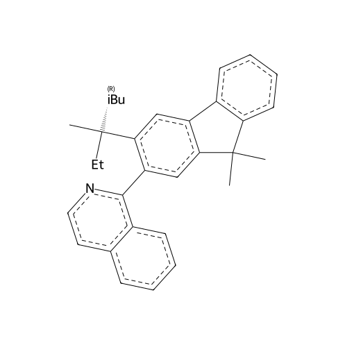 CC[C@@H](C)C(C)(CC)c1cc2c(cc1-c1nccc3ccccc13)C(C)(C)c1ccccc1-2